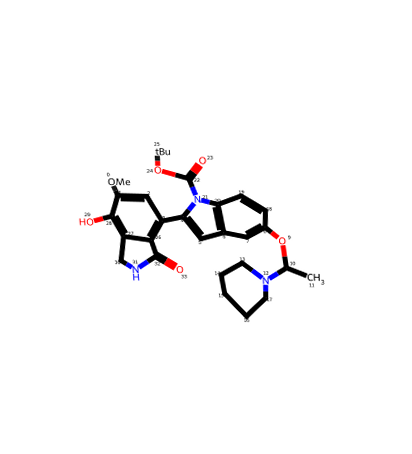 COc1cc(-c2cc3cc(OC(C)N4CCCCC4)ccc3n2C(=O)OC(C)(C)C)c2c(c1O)CNC2=O